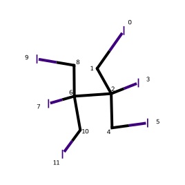 ICC(I)(CI)C(I)(CI)CI